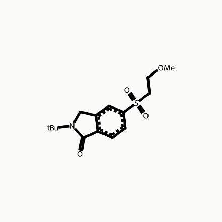 COCCS(=O)(=O)c1ccc2c(c1)CN(C(C)(C)C)C2=O